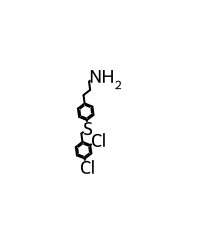 NCCCc1ccc(SCc2ccc(Cl)cc2Cl)cc1